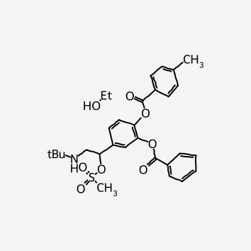 CCO.Cc1ccc(C(=O)Oc2ccc(C(CNC(C)(C)C)OS(C)(=O)=O)cc2OC(=O)c2ccccc2)cc1